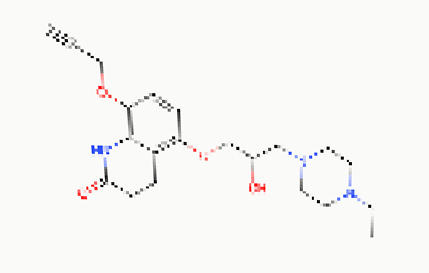 C#CCOc1ccc(OCC(O)CN2CCN(CC)CC2)c2c1NC(=O)CC2